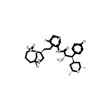 C[C@@H]1CC([C@H](c2ccc(Cl)cc2)[C@H](N)C(=O)Nc2cncc(F)c2CC[C@H]2CN[C@@H]3CCCS(=O)(=O)N2C3)C[C@H](C)O1